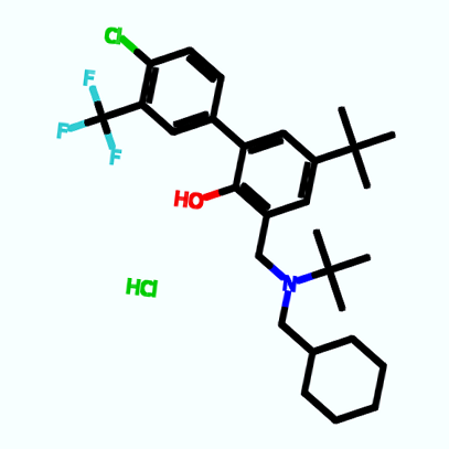 CC(C)(C)c1cc(CN(CC2CCCCC2)C(C)(C)C)c(O)c(-c2ccc(Cl)c(C(F)(F)F)c2)c1.Cl